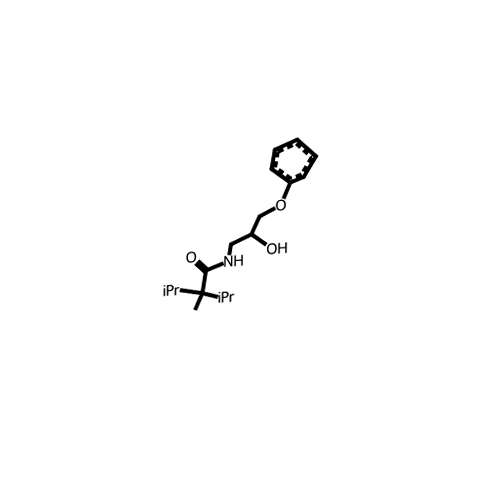 CC(C)C(C)(C(=O)NCC(O)COc1ccccc1)C(C)C